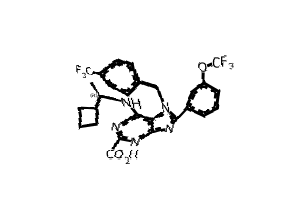 C[C@@H](Nc1nc(C(=O)O)nc2nc(-c3cccc(OC(F)(F)F)c3)n(Cc3ccc(C(F)(F)F)cc3)c12)C1CCC1